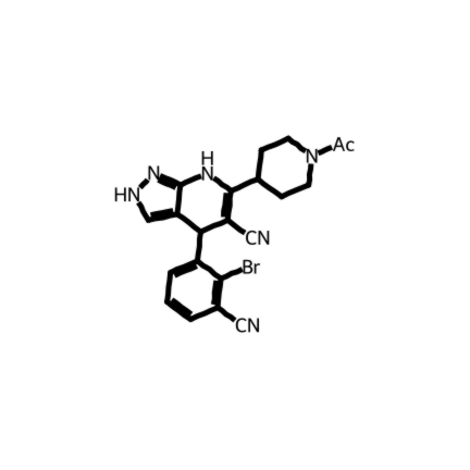 CC(=O)N1CCC(C2=C(C#N)C(c3cccc(C#N)c3Br)c3c[nH]nc3N2)CC1